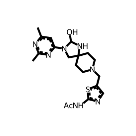 CC(=O)Nc1ncc(CN2CCC3(CC2)CN(c2cc(C)nc(C)n2)C(O)N3)s1